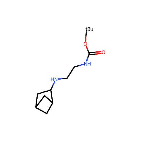 CC(C)(C)OC(=O)NCCNC1CC2CC1C2